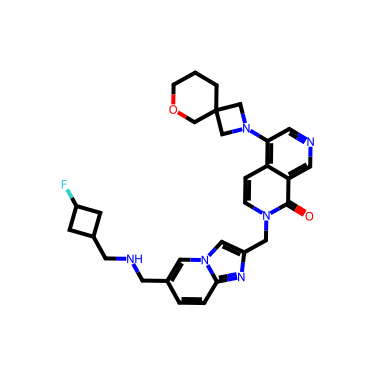 O=c1c2cncc(N3CC4(CCCOC4)C3)c2ccn1Cc1cn2cc(CNCC3CC(F)C3)ccc2n1